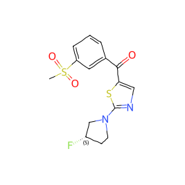 CS(=O)(=O)c1cccc(C(=O)c2cnc(N3CC[C@H](F)C3)s2)c1